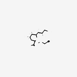 C#CCOC[C@]1(C(=O)O)C[C@@H](O)[C@@H](C)C([C@H](O)[C@H](O)CO)O1